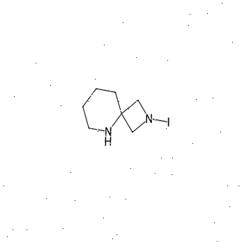 IN1CC2(CCCCN2)C1